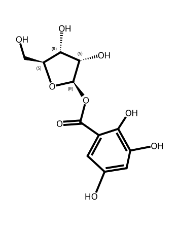 O=C(O[C@H]1O[C@@H](CO)[C@H](O)[C@@H]1O)c1cc(O)cc(O)c1O